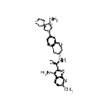 Cc1ccc2c(N)c(C(=O)N[C@H]3COc4cc(N5C[C@H](N)[C@]6(CCOC6)C5)ccc4C3)sc2n1